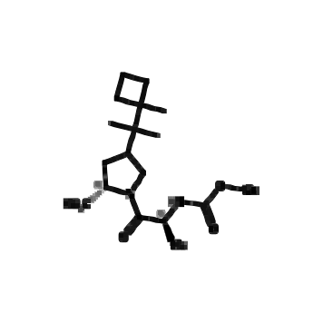 CC(C)(C)OC(=O)N[C@H](C(=O)N1CC(C(C)(C)C2(C)CCC2)C[C@H]1C(=O)O)C(C)(C)C